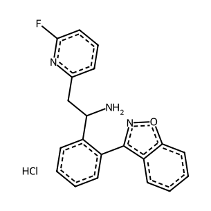 Cl.NC(Cc1cccc(F)n1)c1ccccc1-c1noc2ccccc12